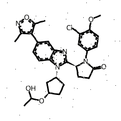 COc1ccc(N2C(=O)CC[C@H]2c2nc3cc(-c4c(C)noc4C)ccc3n2[C@@H]2CC[C@@H](OC(C)O)C2)cc1Cl